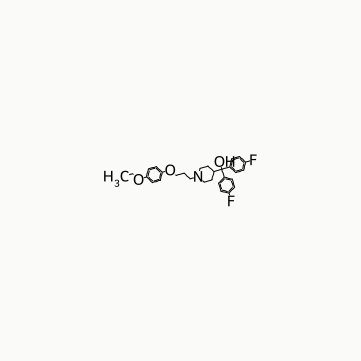 CCOc1ccc(OCCCN2CCC(C(O)(c3ccc(F)cc3)c3ccc(F)cc3)CC2)cc1